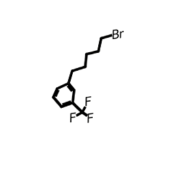 FC(F)(F)c1cccc(CCCCCBr)c1